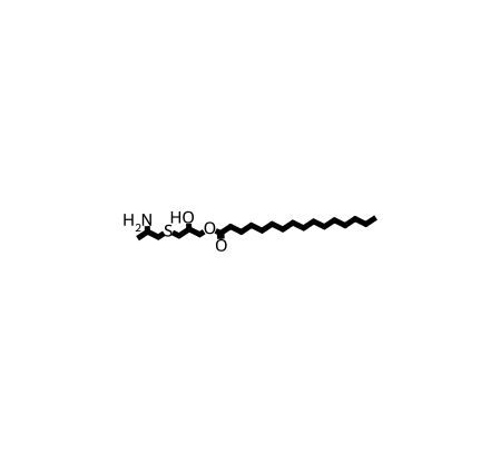 CCCCCCCCCCCCCCCC(=O)OCC(O)CSCC(C)N